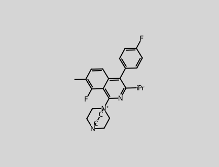 Cc1ccc2c(-c3ccc(F)cc3)c(C(C)C)nc([N+]34CCN(CC3)CC4)c2c1F